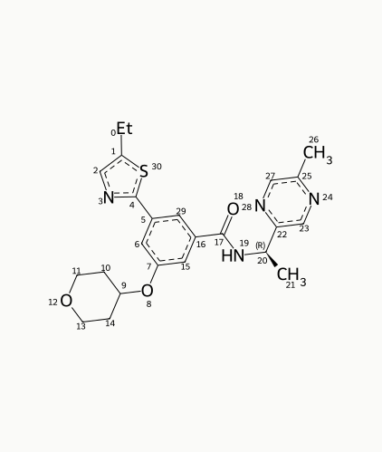 CCc1cnc(-c2cc(OC3CCOCC3)cc(C(=O)N[C@H](C)c3cnc(C)cn3)c2)s1